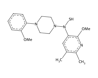 COc1ccccc1N1CCN(N(S)c2cc(C)c(C)nc2OC)CC1